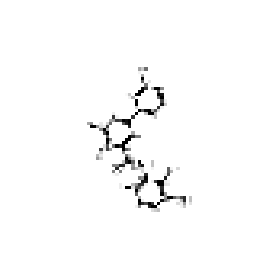 Cc1cc(-c2cccc(F)c2)cc(C(=O)Nc2c(F)ccc(O)c2F)c1C